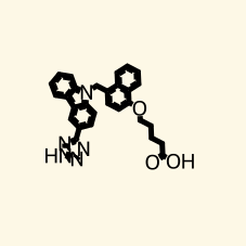 O=C(O)CCCCOc1ccc(Cn2c3ccccc3c3cc(-c4nn[nH]n4)ccc32)c2ccccc12